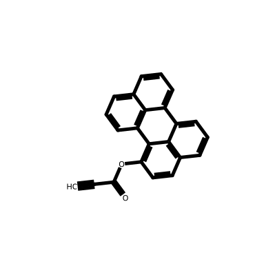 C#CC(=O)Oc1ccc2cccc3c4cccc5cccc(c1c23)c54